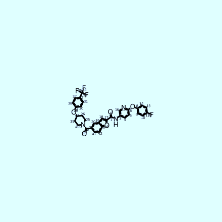 O=C(Nc1ccc(Oc2ccc(F)cc2)nc1)c1cc2cc(C(=O)N3CCC(Oc4ccc(C(F)(F)F)cc4)CC3)ccc2o1